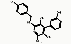 N#Cc1c(N)nc(NCc2ccc(C(F)(F)F)cc2)c(C#N)c1-c1cccc(O)c1